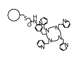 O=C(CSCC1CCCCCCCCC1)Nc1ccc(CC2CN(Cc3ccccn3)CCN(Cc3ccccn3)CCN(Cc3ccccn3)CCN2Cc2ccccn2)cc1